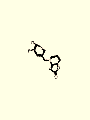 O=C1N=C2C(CC=CN2Cc2cnc(Cl)c(F)c2)O1